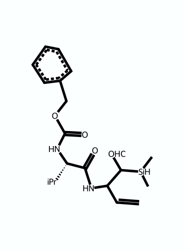 C=CC(NC(=O)[C@@H](NC(=O)OCc1ccccc1)C(C)C)C(C=O)[SiH](C)C